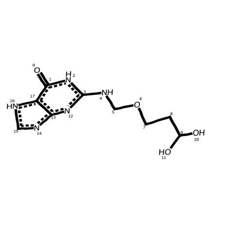 O=c1[nH]c(NCOCCC(O)O)nc2nc[nH]c12